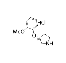 COc1ccccc1O[C@@H]1CCNC1.Cl